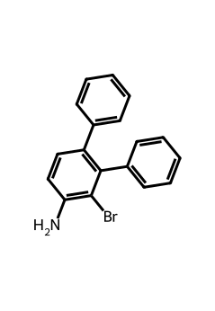 Nc1ccc(-c2ccccc2)c(-c2ccccc2)c1Br